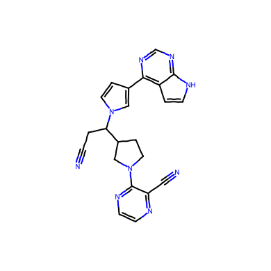 N#CCC(C1CCN(c2nccnc2C#N)C1)n1ccc(-c2ncnc3[nH]ccc23)c1